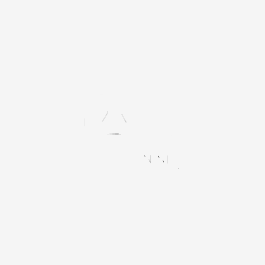 NN1CCCC(c2ccc(F)c(F)c2F)C1C=O